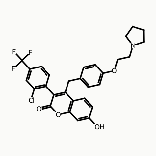 O=c1oc2cc(O)ccc2c(Cc2ccc(OCCN3CCCC3)cc2)c1-c1ccc(C(F)(F)F)cc1Cl